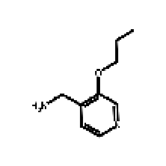 CCCOc1cnccc1CN